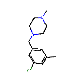 Cc1cc(Cl)cc(CN2CCN(C)CC2)c1